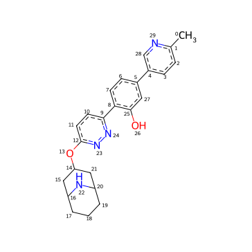 Cc1ccc(-c2ccc(-c3ccc(OC4CC5CCCC(C4)N5)nn3)c(O)c2)cn1